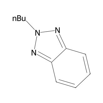 CCCCn1nc2ccccc2n1